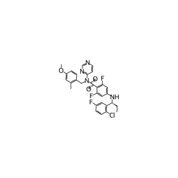 CC[C@H](Nc1cc(F)c(S(=O)(=O)N(Cc2ccc(OC)cc2C)c2ccncn2)c(F)c1)c1cc(F)ccc1Cl